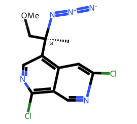 COC[C@@](C)(N=[N+]=[N-])c1cnc(Cl)c2cnc(Cl)cc12